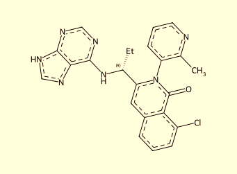 CC[C@@H](Nc1ncnc2[nH]cnc12)c1cc2cccc(Cl)c2c(=O)n1-c1cccnc1C